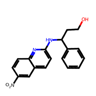 O=[N+]([O-])c1ccc2nc(NC(CCO)c3ccccc3)ccc2c1